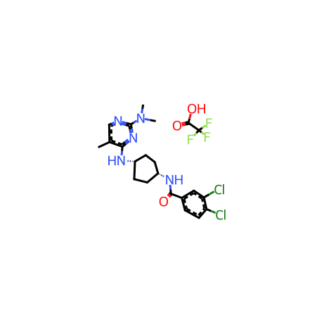 Cc1cnc(N(C)C)nc1N[C@H]1CC[C@@H](NC(=O)c2ccc(Cl)c(Cl)c2)CC1.O=C(O)C(F)(F)F